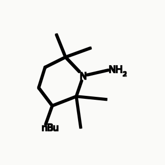 CCCCC1CCC(C)(C)N(N)C1(C)C